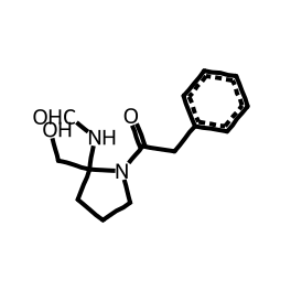 O=CNC1(CO)CCCN1C(=O)Cc1ccccc1